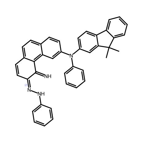 CC1(C)c2ccccc2-c2ccc(N(c3ccccc3)c3ccc4ccc5c(c4c3)C(=N)/C(=N\Nc3ccccc3)C=C5)cc21